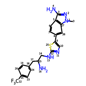 Cn1nc(N)c2ccc(-c3cnc(NCC(N)Cc4ccc(C(F)(F)F)cc4)s3)cc21